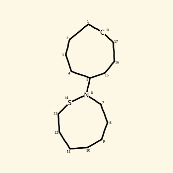 C1CCCCC(N2CCCCCCCS2)CCC1